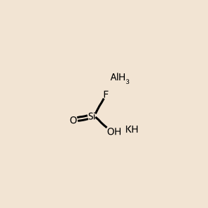 O=[Si](O)F.[AlH3].[KH]